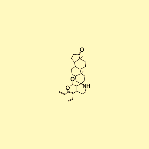 C=Cc1oc(=O)c2c(c1C=C)CCNC21CCC2(C)C(CCC3C4CCC(=O)C4(C)CCC32)C1